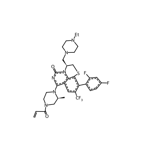 C=CC(=O)N1CCN(c2nc(=O)n3c4c(c(-c5ccc(F)cc5F)c(C(F)(F)F)cc24)SC[C@@H]3CN2CCN(CC)CC2)[C@@H](C)C1